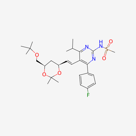 CC(C)c1nc(NS(C)(=O)=O)nc(-c2ccc(F)cc2)c1/C=C/[C@@H]1C[C@H](COC(C)(C)C)OC(C)(C)O1